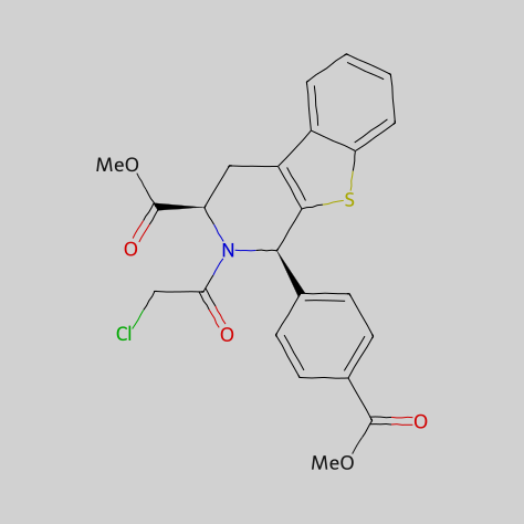 COC(=O)c1ccc([C@@H]2c3sc4ccccc4c3C[C@H](C(=O)OC)N2C(=O)CCl)cc1